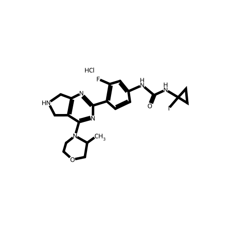 CC1COCCN1c1nc(-c2ccc(NC(=O)NC3(I)CC3)cc2F)nc2c1CNC2.Cl